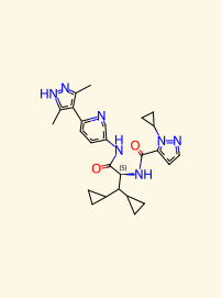 Cc1n[nH]c(C)c1-c1ccc(NC(=O)[C@@H](NC(=O)c2ccnn2C2CC2)C(C2CC2)C2CC2)cn1